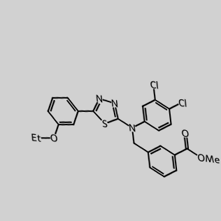 CCOc1cccc(-c2nnc(N(Cc3cccc(C(=O)OC)c3)c3ccc(Cl)c(Cl)c3)s2)c1